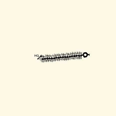 [2H]C([2H])(OP(C)(=O)O)C([2H])([2H])C([2H])([2H])C([2H])([2H])C([2H])([2H])C([2H])([2H])C([2H])([2H])C([2H])([2H])C([2H])([2H])C([2H])([2H])C([2H])([2H])C([2H])([2H])C([2H])([2H])C([2H])([2H])C([2H])([2H])C([2H])([2H])C([2H])([2H])C([2H])([2H])c1ccc(I)cc1